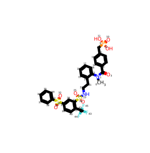 CN(C(=O)c1ccc(CP(=O)(O)O)cc1)c1ccccc1CCNS(=O)(=O)c1cc(S(=O)(=O)c2ccccc2)ccc1C(F)(F)F